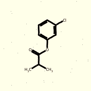 CC(C)C(=O)Oc1cccc(Cl)c1